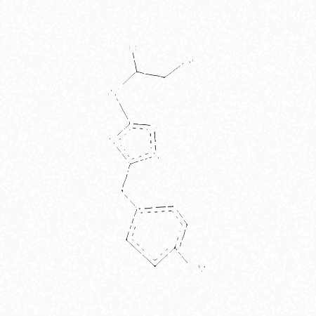 CCCC(CN)Nc1nc(Cc2ccc(OC)cc2)ns1